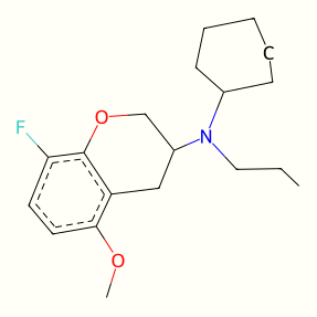 CCCN(C1CCCCC1)C1COc2c(F)ccc(OC)c2C1